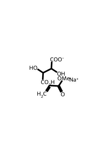 C=CC(=O)OC.O=C([O-])C(O)C(O)C(=O)O.[Na+]